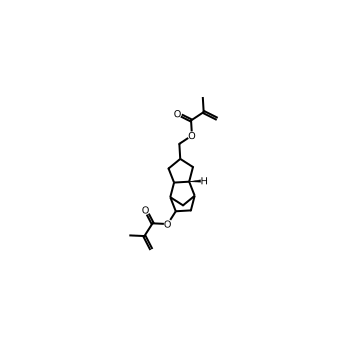 C=C(C)C(=O)OCC1CC2C3CC(CC3OC(=O)C(=C)C)[C@H]2C1